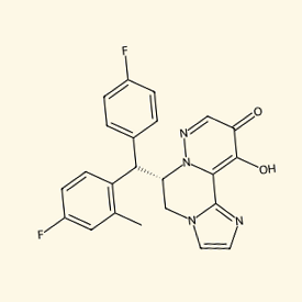 Cc1cc(F)ccc1C(c1ccc(F)cc1)[C@H]1Cn2ccnc2-c2c(O)c(=O)cnn21